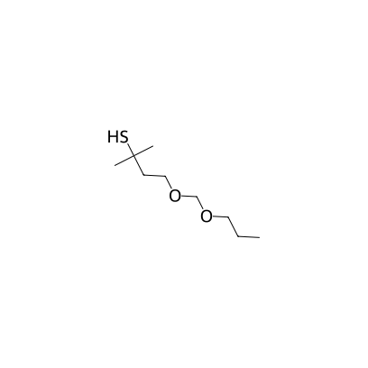 CCCOCOCCC(C)(C)S